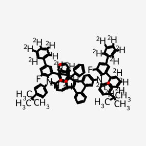 [2H]c1c([2H])c([2H])c(-c2cc(F)c(N(c3ccc(C(C)(C)C)cc3)c3ccc4c(c3)C(c3ccccc3)(c3ccccc3)c3c-4c4ccccc4c4cc(N(c5ccc(C(C)(C)C)cc5)c5c(F)cc(-c6c([2H])c([2H])c([2H])c([2H])c6[2H])cc5-c5c([2H])c([2H])c([2H])c([2H])c5[2H])ccc34)c(-c3c([2H])c([2H])c([2H])c([2H])c3[2H])c2)c([2H])c1[2H]